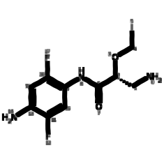 NC[C@@H](OCI)C(=O)Nc1cc(F)c(N)cc1F